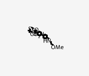 COCCCNCc1ccc(-c2ccc(S(=O)(=O)N3CCSC(C)(C)[C@@H]3C(=O)O)cc2)cc1